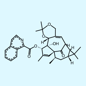 CC1=C[C@]23C(=O)[C@@H](C=C4COC(C)(C)O[C@H]4[C@]2(O)[C@H]1OC(=O)c1nccc2ccccc12)[C@H]1[C@@H](C[C@H]3C)C1(C)C